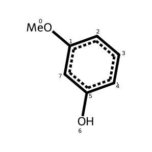 COc1cc[c]c(O)c1